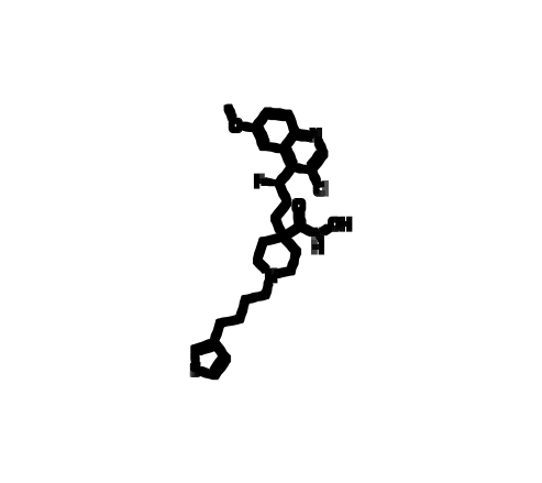 COc1ccc2ncc(Cl)c([C@H](F)CCC3(C(=O)NO)CCN(CCCCc4ccsc4)CC3)c2c1